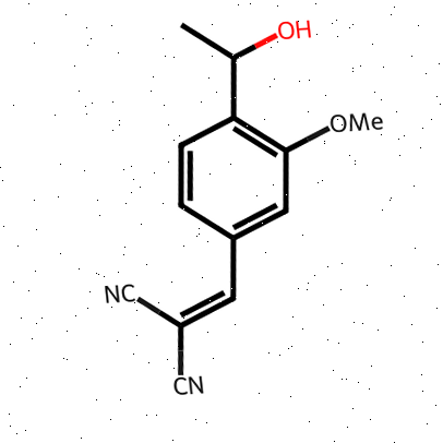 COc1cc(C=C(C#N)C#N)ccc1C(C)O